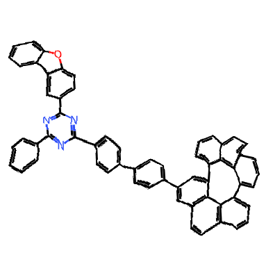 c1ccc(-c2nc(-c3ccc(-c4ccc(-c5cc6ccc7cccc8c9cccc%10ccc%11cccc(c(c5)c6c78)c%11c%109)cc4)cc3)nc(-c3ccc4oc5ccccc5c4c3)n2)cc1